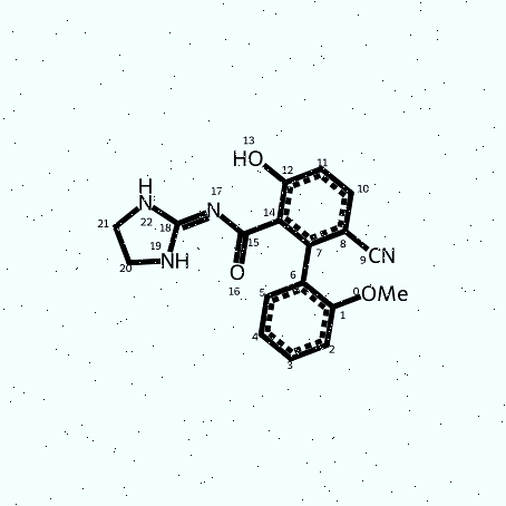 COc1ccccc1-c1c(C#N)ccc(O)c1C(=O)N=C1NCCN1